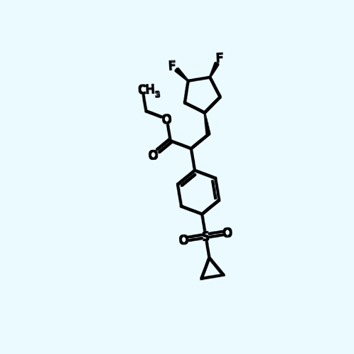 CCOC(=O)C(C[C@H]1C[C@@H](F)[C@@H](F)C1)C1=CCC(S(=O)(=O)C2CC2)C=C1